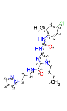 CCCCn1cc(NC(=O)Nc2ccc(Cl)cc2C)nc1C(=O)NCCCn1cccn1